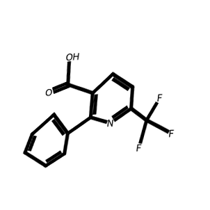 O=C(O)c1ccc(C(F)(F)F)nc1-c1ccccc1